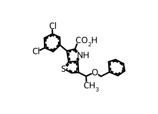 CC(OCc1ccccc1)c1csc2c(-c3cc(Cl)cc(Cl)c3)c(C(=O)O)[nH]c12